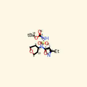 CCc1cc(N(C2CCOCC2)S(=O)(=O)NC(=O)OC(C)(C)C)on1